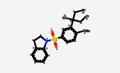 COc1ccc(S(=O)(=O)N2CCc3ccccc32)cc1C(C#N)(CC(C)C)CC(C)C